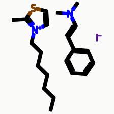 CCCCCCC[n+]1ccsc1C.CN(C)C=Cc1ccccc1.[I-]